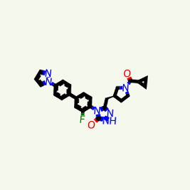 O=C(C1CC1)N1CC[C@@H](Cc2n[nH]c(=O)n2-c2ccc(-c3ccc(-n4cccn4)cc3)cc2F)C1